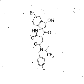 CC(N(Cc1ccc(F)cc1)C(=O)CN1C(=O)NC2(CC(O)c3cc(Br)ccc32)C1=O)C(F)(F)F